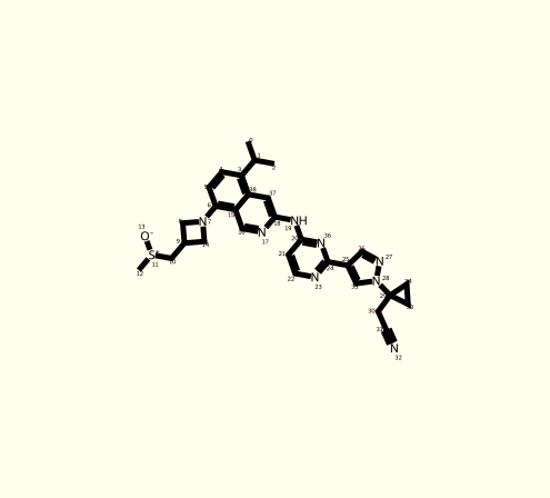 CC(C)c1ccc(N2CC(C[S+](C)[O-])C2)c2cnc(Nc3ccnc(-c4cnn(C5(CC#N)CC5)c4)n3)cc12